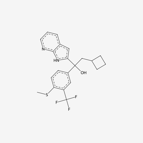 CSc1ccc(C(O)(CC2CCC2)c2cc3cccnc3[nH]2)cc1C(F)(F)F